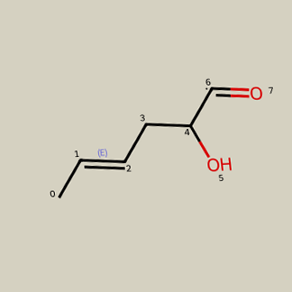 C/C=C/CC(O)[C]=O